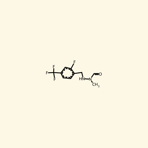 CN(C=O)NCc1ccc(C(F)(F)F)cc1F